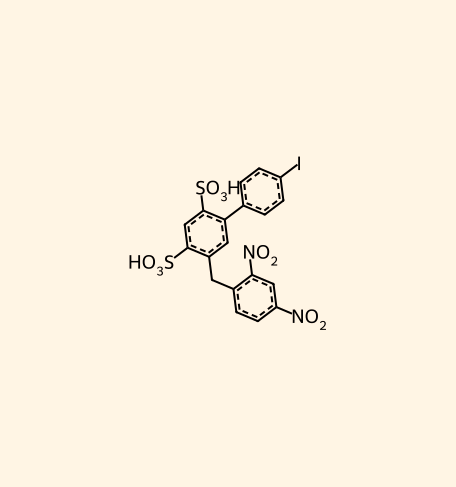 O=[N+]([O-])c1ccc(Cc2cc(-c3ccc(I)cc3)c(S(=O)(=O)O)cc2S(=O)(=O)O)c([N+](=O)[O-])c1